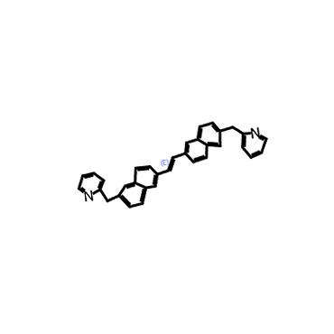 C(=C\c1ccc2cc(Cc3ccccn3)ccc2c1)/c1ccc2cc(Cc3ccccn3)ccc2c1